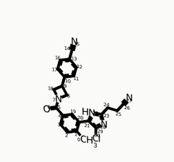 Cc1ccc(C(=O)N2CC(c3ccc(C#N)cc3)C2)cc1-c1[nH]c(CCC#N)nc1Cl